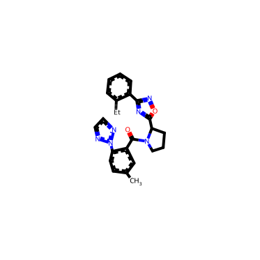 CCc1ccccc1-c1noc(C2CCCN2C(=O)c2cc(C)ccc2-n2nccn2)n1